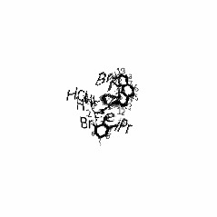 C=[C]([Fe][c]1c(Br)cccc1C(C)C)c1ccc2ccc3ccc(Br)nc3c2n1.Cl.N